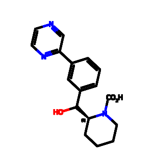 O=C(O)N1CCCC[C@H]1C(O)c1cccc(-c2cnccn2)c1